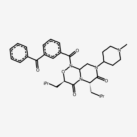 CC(C)C[C@H]1ON(C(=O)c2cccc(C(=O)c3ccccc3)c2)C2CN(C3CCN(C)CC3)C(=O)[C@H](CC(C)C)N2C1=O